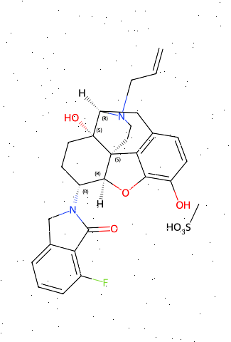 C=CCN1CC[C@]23c4c5ccc(O)c4O[C@H]2[C@H](N2Cc4cccc(F)c4C2=O)CC[C@@]3(O)[C@H]1C5.CS(=O)(=O)O